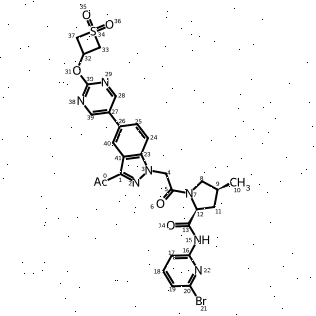 CC(=O)c1nn(CC(=O)N2C[C@@H](C)C[C@H]2C(=O)Nc2cccc(Br)n2)c2ccc(-c3cnc(OC4CS(=O)(=O)C4)nc3)cc12